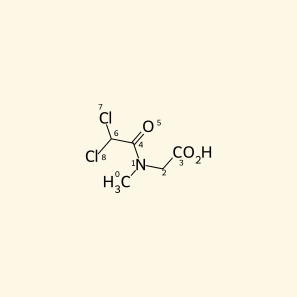 CN(CC(=O)O)C(=O)C(Cl)Cl